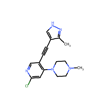 Cc1n[nH]cc1C#Cc1cnc(Cl)cc1N1CCN(C)CC1